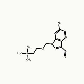 Cc1ccc2c(C=O)nn(COCC[Si](C)(C)C)c2c1